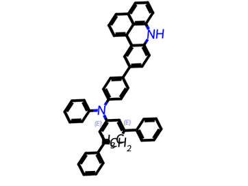 C=C(/C=C(\C=C(/C)c1ccccc1)N(c1ccccc1)c1ccc(-c2ccc3c(c2)-c2cccc4cccc(c24)N3)cc1)c1ccccc1